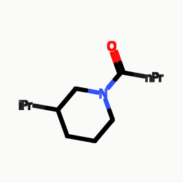 CCCC(=O)N1CCCC(C(C)C)C1